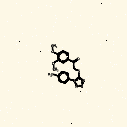 COc1ccc(C(=O)CSc2nnnn2-c2ccc(C)cc2)cc1OC